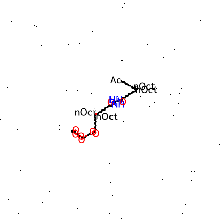 C=CC(=O)OCCOC(=O)CCCCCOC(=O)CCCCCCCCC(CCCCCCCC)C(CCCCCCCC)CCCCCCCCC(=O)NCCNC(=O)CCCCCCCCC(CCCCCCCC)C(CCCCCCCC)CCCCCCCCC(C)=O